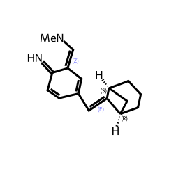 CN/C=C1C=C(/C=C2/[C@@H]3CCC[C@H]2C3)C=CC/1=N